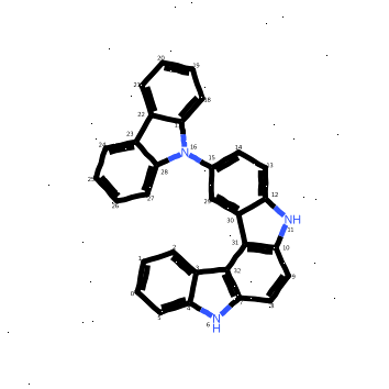 c1ccc2c(c1)[nH]c1ccc3[nH]c4ccc(-n5c6ccccc6c6ccccc65)cc4c3c12